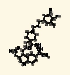 COc1ccc2ncc(CN)c([C@H](F)CCC3(C(=O)NO)CCN(CCCc4cc(F)c(F)c(F)c4)CC3)c2c1